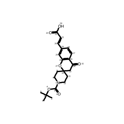 CC(C)(C)OC(=O)N1CCC2(CC1)CC(=O)c1ccc(/C=C/C(=O)O)cc1O2